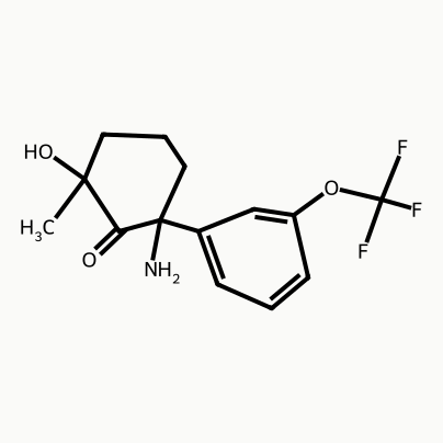 CC1(O)CCCC(N)(c2cccc(OC(F)(F)F)c2)C1=O